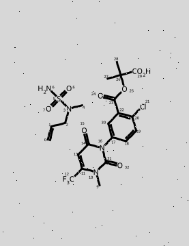 C=CCN(C)S(N)(=O)=O.Cn1c(C(F)(F)F)cc(=O)n(-c2ccc(Cl)c(C(=O)OC(C)(C)C(=O)O)c2)c1=O